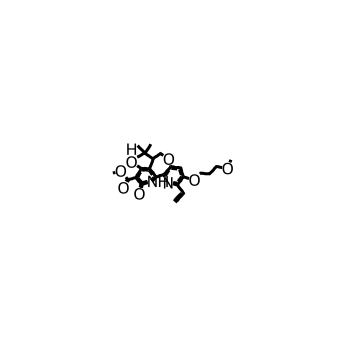 C=Cc1nc2c(cc1OCCCOC)OCC(C(C)(C)C)c1c-2[nH]c(=O)c(C(=O)OC)c1O